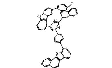 Fc1ccc(C2=CC3c4c(cccc4-c4nc(-c5ccc(-c6cccc7c6sc6c8ccccc8ccc76)cc5)nc(-c5ccc6ccccc6c5)n4)OC3C=C2)cc1